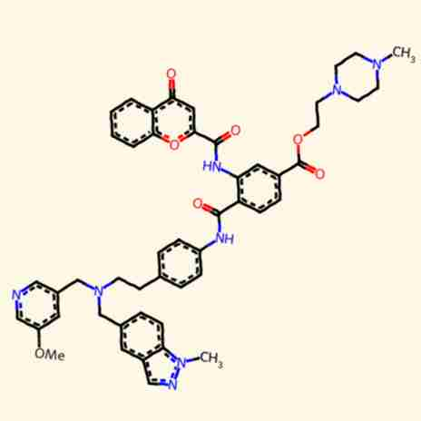 COc1cncc(CN(CCc2ccc(NC(=O)c3ccc(C(=O)OCCN4CCN(C)CC4)cc3NC(=O)c3cc(=O)c4ccccc4o3)cc2)Cc2ccc3c(cnn3C)c2)c1